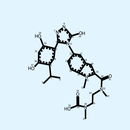 CC(C)c1cc(-c2nnc(O)n2-c2ccc3c(c2)cc(C(=O)N(C)CCN(C)C(=O)O)n3C)c(O)cc1O